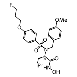 COc1ccc(CN([C@H](CC(C)C)C(=O)NO)S(=O)(=O)c2ccc(OCCCF)cc2)cc1